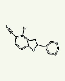 N#Cc1ccc2c(c1Br)CC(c1ccccc1)O2